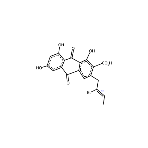 C/C=C(\CC)Cc1cc2c(c(O)c1C(=O)O)C(=O)c1c(O)cc(O)cc1C2=O